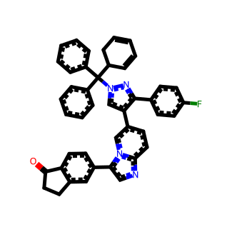 O=C1CCc2cc(-c3cnc4ccc(-c5cn(C(c6ccccc6)(c6ccccc6)C6C=CC=CC6)nc5-c5ccc(F)cc5)cn34)ccc21